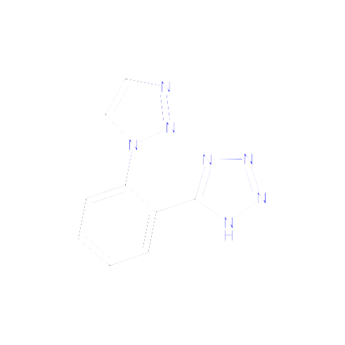 c1ccc(-n2ccnn2)c(-c2nnn[nH]2)c1